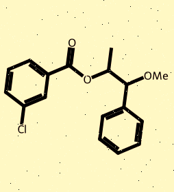 COC(c1ccccc1)C(C)OC(=O)c1cccc(Cl)c1